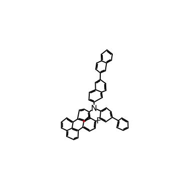 Fc1ccc(-c2cccc3cccc(-c4ccc(N(c5ccc(-c6ccccc6)cc5)c5ccc6cc(-c7ccc8ccccc8c7)ccc6c5)cc4)c23)cc1